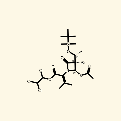 CC(=O)S[C@H]1N(C(C(=O)OC(Cl)C(Cl)Cl)=C(C)C)C(=O)[C@@]1(Br)[C@@H](C)O[Si](C)(C)C(C)(C)C